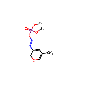 CCOP(=O)(OCC)ON=NC1=CC(C)=COC1